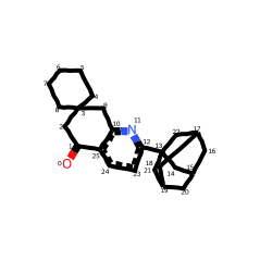 O=C1CC2(CCCCC2)Cc2nc(C34CC5CC(CC(C5)C3)C4)ccc21